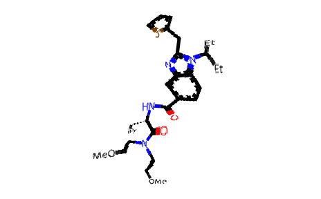 CCC(CC)n1c(Cc2cccs2)nc2cc(C(=O)N[C@@H](CC(C)C)C(=O)N(CCOC)CCOC)ccc21